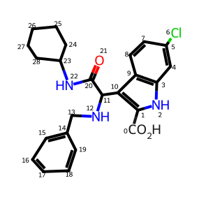 O=C(O)c1[nH]c2cc(Cl)ccc2c1C(NCc1ccccc1)C(=O)NC1CCCCC1